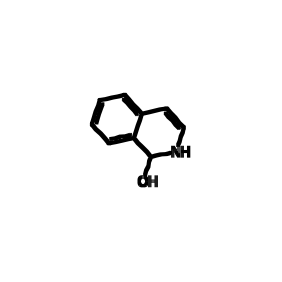 OC1NC=Cc2ccccc21